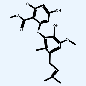 COC(=O)c1c(O)cc(O)cc1Oc1c(C)c(CC=C(C)C)cc(OC)c1O